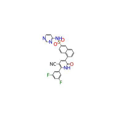 N#Cc1cc(-c2cccc3cc(S(=O)(=O)Nc4ccncn4)ccc23)c(=O)[nH]c1-c1cc(F)cc(F)c1